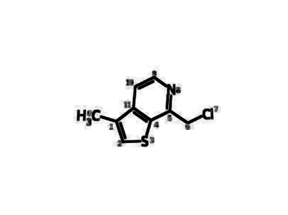 Cc1csc2c(CCl)nccc12